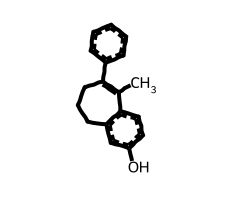 CC1=C(c2ccccc2)CCCc2cc(O)ccc21